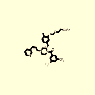 COCCOCOc1cc(C[C@@H]2CN(C/C=C\c3cccnc3)CCN2C(=O)c2cc(C(F)(F)F)cc(C(F)(F)F)c2)ccc1C